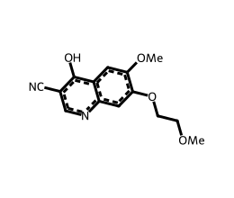 COCCOc1cc2ncc(C#N)c(O)c2cc1OC